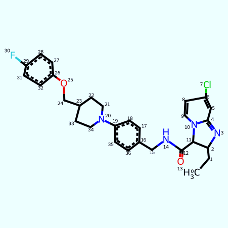 CCC1N=C2C=C(Cl)C=CN2C1C(=O)NCc1ccc(N2CCC(COc3ccc(F)cc3)CC2)cc1